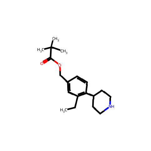 CCc1cc(COC(=O)C(C)(C)C)ccc1C1CCNCC1